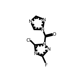 O=C(n1cncn1)n1nc(F)nc1Cl